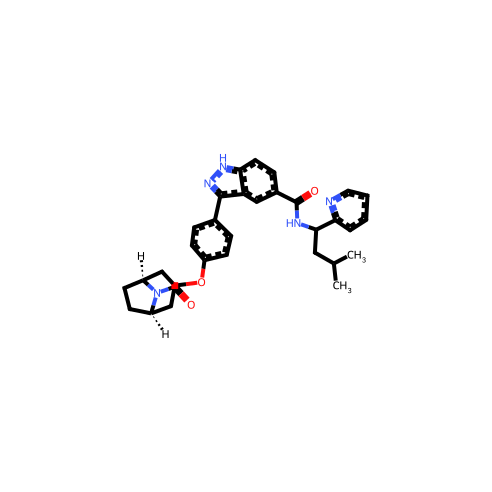 CC(C)CC(NC(=O)c1ccc2[nH]nc(-c3ccc(OC4C[C@H]5CC[C@@H](C4)N5C=O)cc3)c2c1)c1ccccn1